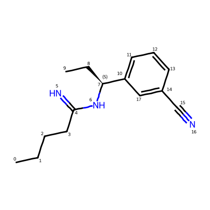 CCCCC(=N)N[C@@H](CC)c1cccc(C#N)c1